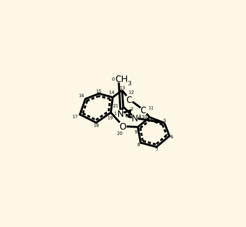 CN1C=CN2c3cccc4c3CCC(c3ccccc3O4)C12